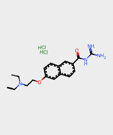 CCN(CC)CCOc1ccc2cc(C(=O)NC(=N)N)ccc2c1.Cl.Cl